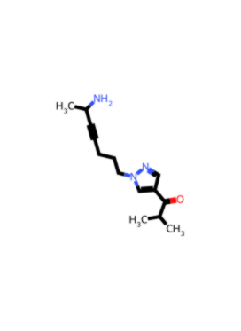 CC(N)C#CCCCn1cc(C(=O)C(C)C)cn1